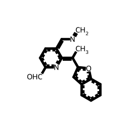 C=N/C=c1/ccc(C=O)n/c1=C(/C)c1cc2ccccc2o1